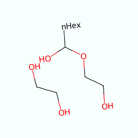 CCCCCCC(O)OCCO.OCCO